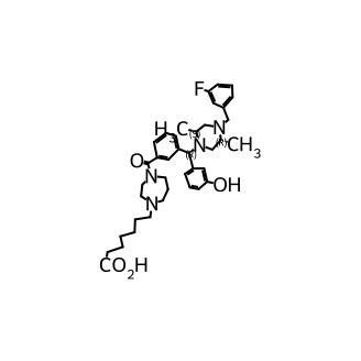 C[C@@H]1CN([C@@H](c2cccc(O)c2)c2cccc(C(=O)N3CCCN(CCCCCCC(=O)O)CC3)c2)[C@@H](C)CN1Cc1cccc(F)c1